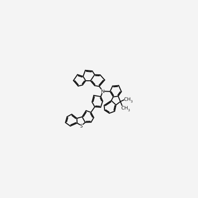 CC1(C)c2ccccc2-c2c(N(c3ccc(-c4ccc5sc6ccccc6c5c4)cc3)c3ccc4ccc5ccccc5c4c3)cccc21